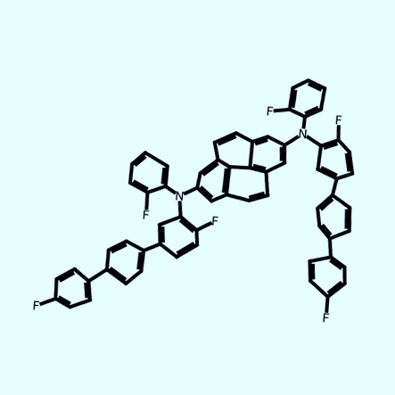 Fc1ccc(-c2ccc(-c3ccc(F)c(N(c4cc5ccc6cc(N(c7ccccc7F)c7cc(-c8ccc(-c9ccc(F)cc9)cc8)ccc7F)cc7ccc(c4)c5c67)c4ccccc4F)c3)cc2)cc1